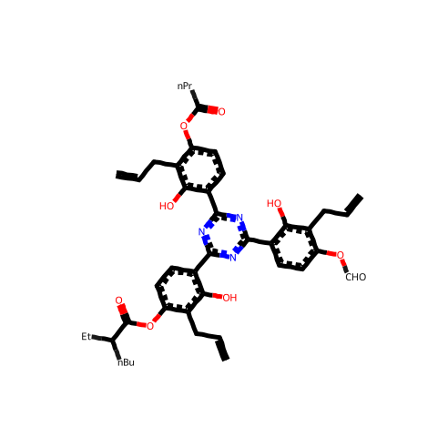 C=CCc1c(OC=O)ccc(-c2nc(-c3ccc(OC(=O)CCC)c(CC=C)c3O)nc(-c3ccc(OC(=O)C(CC)CCCC)c(CC=C)c3O)n2)c1O